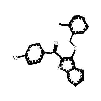 Cc1ccccc1COc1c(C(=O)c2ccc(C#N)cc2)sc2ccccc12